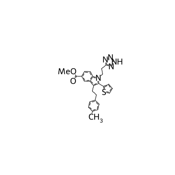 COC(=O)c1ccc2c(c1)c(CCc1ccc(C)cc1)c(-c1cccs1)n2CCc1nn[nH]n1